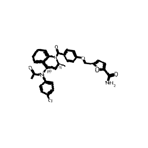 CC(=O)N(c1ccc(Cl)cc1)[C@@H]1C[C@H](C)N(C(=O)c2ccc(OCc3ccc(C(N)=O)o3)cc2)c2ccccc21